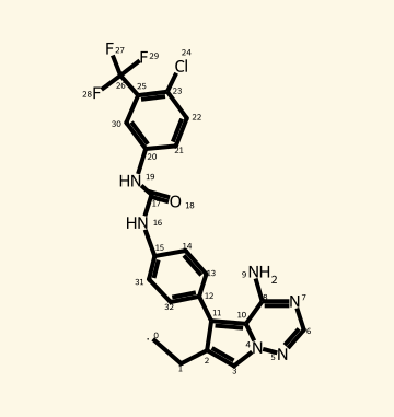 [CH2]Cc1cn2ncnc(N)c2c1-c1ccc(NC(=O)Nc2ccc(Cl)c(C(F)(F)F)c2)cc1